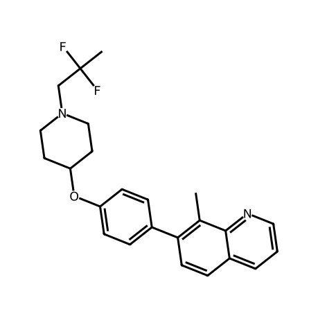 Cc1c(-c2ccc(OC3CCN(CC(C)(F)F)CC3)cc2)ccc2cccnc12